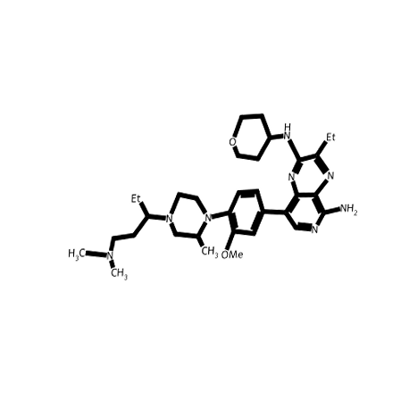 CCc1nc2c(N)ncc(-c3ccc(N4CCN(C(CC)CCN(C)C)CC4C)c(OC)c3)c2nc1NC1CCOCC1